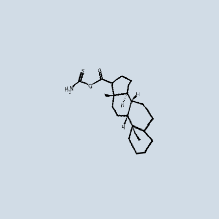 C[C@]12CCCCC1CC[C@@H]1[C@H]2CC[C@]2(C)C(C(=O)OC(N)=S)CC[C@@H]12